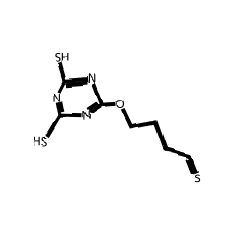 S=CCCCOc1nc(S)nc(S)n1